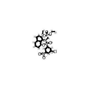 CCOP(=O)(CN(c1cccc2ccccc12)S(=O)(=O)c1cc(Cl)cc([N+](=O)[O-])c1)OCC